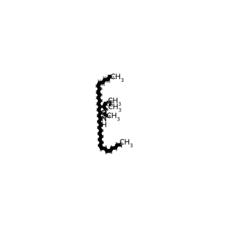 CCCCC/C=C\C/C=C\CCCCCCCCC(CCCCCCC/C=C/C/C=C\CCCCC)NC(C)OCCCN(C)C